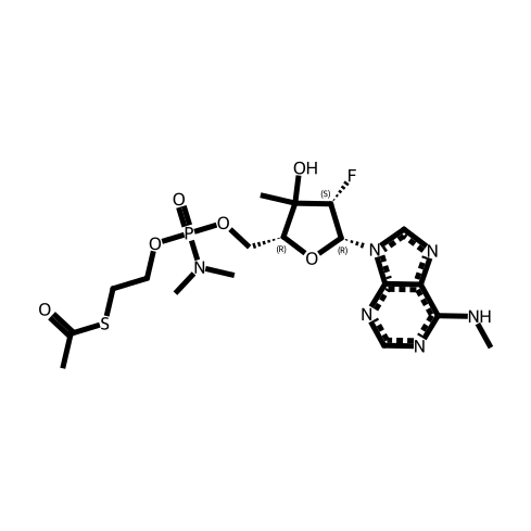 CNc1ncnc2c1ncn2[C@@H]1O[C@H](COP(=O)(OCCSC(C)=O)N(C)C)C(C)(O)[C@@H]1F